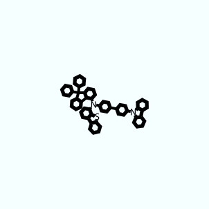 c1ccc(C2(c3ccccc3)c3ccccc3-c3c(N(c4ccc(-c5ccc(-n6c7ccccc7c7ccccc76)cc5)cc4)c4cccc5c4sc4ccccc45)cccc32)cc1